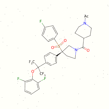 CC(=O)N1CCC(C(=O)N2CC[C@](c3ccc(C(Oc4c(F)cccc4F)(C(F)(F)F)C(F)(F)F)cc3)(S(=O)(=O)c3ccc(F)cc3)C2)CC1